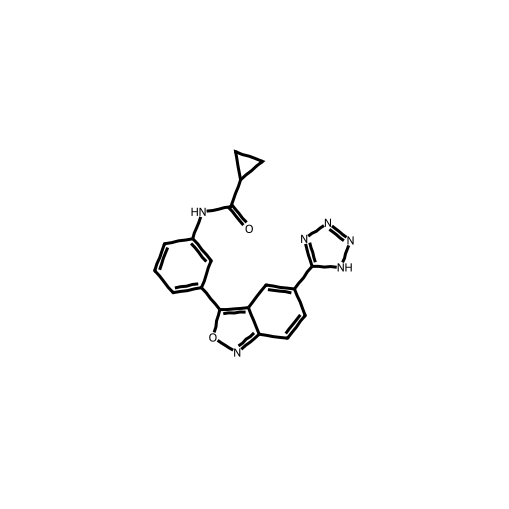 O=C(Nc1cccc(-c2onc3ccc(-c4nnn[nH]4)cc23)c1)C1CC1